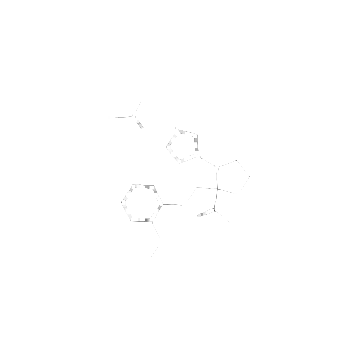 COc1ccccc1OCC1(C(C)=O)SCCN1n1ccnc1.O=[N+]([O-])O